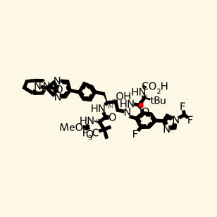 COC(=O)N[C@H](C(=O)N[C@@H](Cc1ccc(-c2cnc(N3CC4CCC(C3)N4C3COC3)nc2)cc1)[C@@H](O)CN(Cc1c(F)cc(-c2cn(C(F)F)cn2)cc1F)NC(=O)[C@@H](NC(=O)O)C(C)(C)C)C(C)(C)C(F)(F)F